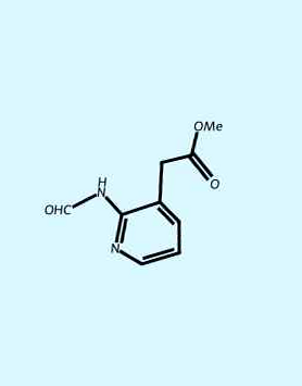 COC(=O)Cc1cccnc1NC=O